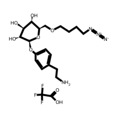 O=C(O)C(F)(F)F.[N-]=[N+]=NCCCCOC[C@H]1O[C@@H](Oc2ccc(CCN)cc2)[C@H](O)[C@@H](O)[C@@H]1O